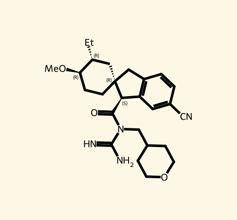 CC[C@@H]1C[C@]2(CC[C@H]1OC)Cc1ccc(C#N)cc1[C@H]2C(=O)N(CC1CCOCC1)C(=N)N